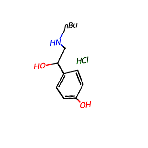 CCCCNCC(O)c1ccc(O)cc1.Cl